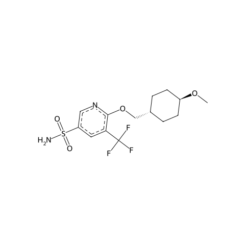 CO[C@H]1CC[C@H](COc2ncc(S(N)(=O)=O)cc2C(F)(F)F)CC1